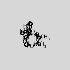 C[C@@H]1C[C@H]2C(=O)OC[C@H](NC(=O)[C@H](Cc3ccccc3)NC(=O)Nc3ccccn3)C(=O)N3CCC[C@H]3C(=O)N3CCCC[C@H]3COCN[C@@H](C)C(=O)N2C1